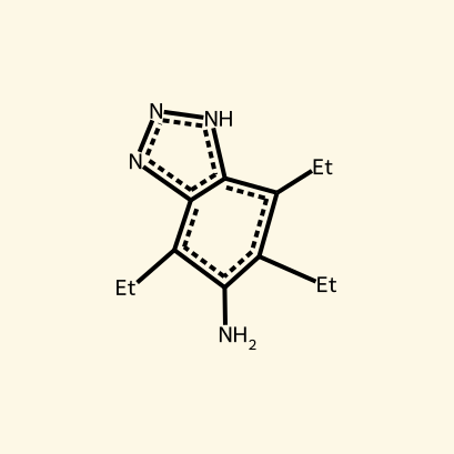 CCc1c(N)c(CC)c2nn[nH]c2c1CC